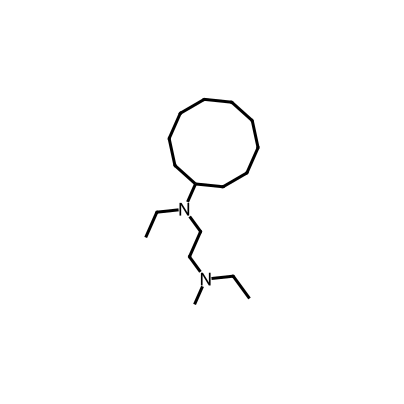 CCN(C)CCN(CC)C1CCCCCCCCC1